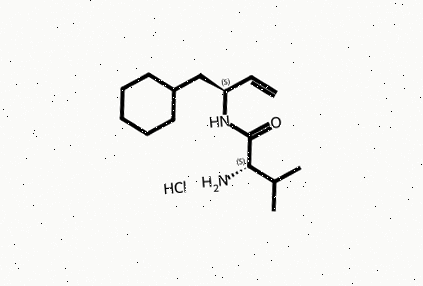 C=C[C@H](CC1CCCCC1)NC(=O)[C@@H](N)C(C)C.Cl